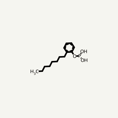 CCCCCCCCc1ccccc1OP(O)O